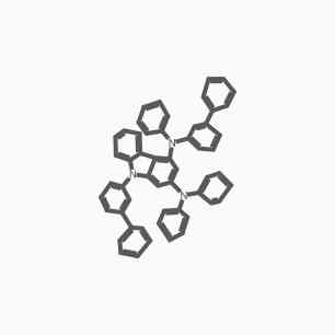 c1ccc(-c2cccc(N(c3ccccc3)c3cc(N(c4ccccc4)c4ccccc4)cc4c3c3ccccc3n4-c3cccc(-c4ccccc4)c3)c2)cc1